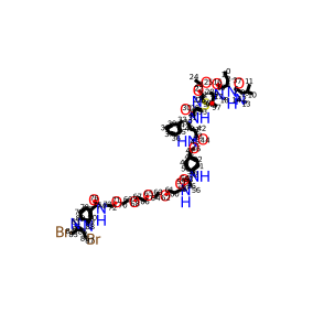 CC[C@H](C)[C@H](NC(=O)C(C(C)C)N(C)C)C(=O)N(C)C(C[C@@H](OC(C)=O)c1nc(C(=O)N[C@@H](Cc2ccccc2)C[C@H](C)C(=O)NOCc2ccc(NC(=O)[C@H](C)NC(=O)CCOCCOCCOCCOCCNC(=O)c3ccc4nc(CBr)c(CBr)nc4c3)cc2)cs1)C(C)C